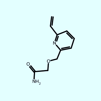 C=Cc1cccc(COCC(N)=O)n1